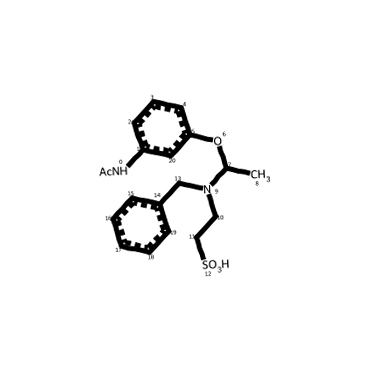 CC(=O)Nc1cccc(OC(C)N(CCS(=O)(=O)O)Cc2ccccc2)c1